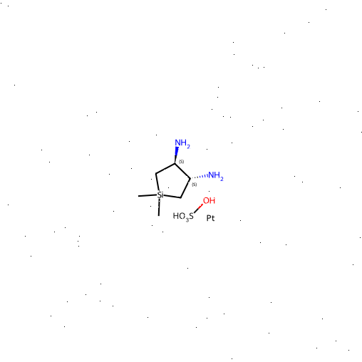 C[Si]1(C)C[C@@H](N)[C@H](N)C1.O=S(=O)(O)O.[Pt]